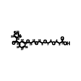 O=C(O)CCOCCOCCOCCOc1cccc(C(=O)c2cscn2)c1